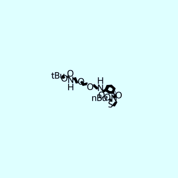 CCCCOC1C(C(=O)NCCOCCOCCNC(=O)OC(C)(C)C)=CCC[C@@H]1C(=O)N1CCSC1